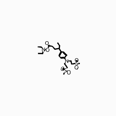 CCC(CCC(=O)ON(CC)CC)c1ccc(N(CCS(C)(=O)=O)CCS(C)(=O)=O)cc1